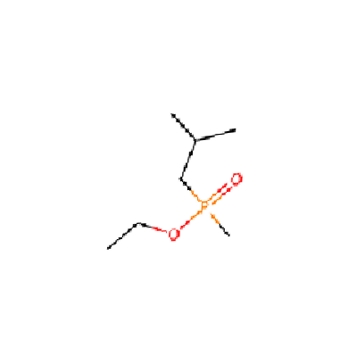 CCOP(C)(=O)CC(C)C